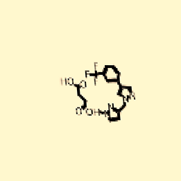 Cn1ccc(Cn2cc(-c3cccc(C(F)(F)F)c3)cn2)n1.O=C(O)CCC(=O)O